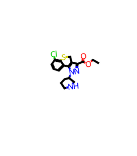 CCOC(=O)c1nn(C2CCCNC2)c2c1CSc1c(Cl)cccc1-2